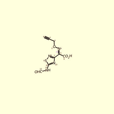 C#CCO/N=C(/C(=O)O)c1nsc(NC=O)n1